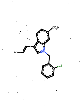 CC(=O)C=Cc1cn(Cc2ccccc2Cl)c2cc(C(=O)O)ccc12